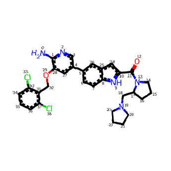 Nc1ncc(-c2ccc3[nH]c(C(=O)N4CCCC4CN4CCCC4)cc3c2)cc1OCc1c(Cl)cccc1Cl